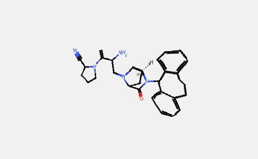 C=C(C(N)CN1C[C@@H]2CC1C(=O)N2C1c2ccccc2CCc2ccccc21)N1CCCC1C#N